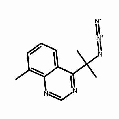 Cc1cccc2c(C(C)(C)N=[N+]=[N-])ncnc12